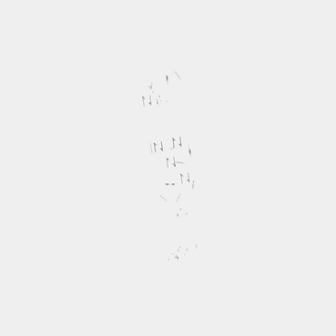 CS(=O)(=O)CCCOc1cccc2c1ccn2-c1ccnc(N[C@H]2CC[C@H](NS(=O)(=O)c3cccs3)CC2)n1